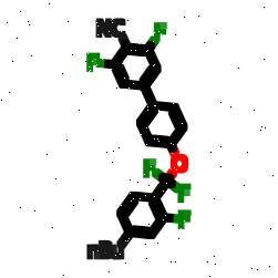 CCCCc1ccc(C(F)(F)Oc2ccc(-c3cc(F)c(C#N)c(F)c3)cc2)c(F)c1